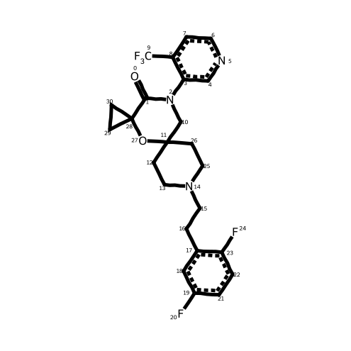 O=C1N(c2cnccc2C(F)(F)F)CC2(CCN(CCc3cc(F)ccc3F)CC2)OC12CC2